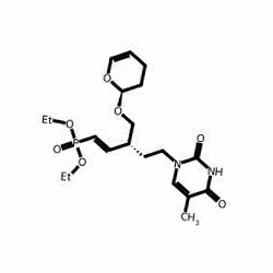 CCOP(=O)(C=C[C@@H](CCn1cc(C)c(=O)[nH]c1=O)CO[C@@H]1CCC=CO1)OCC